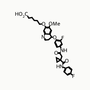 COc1cc2c(cc1OCCCCCC(=O)O)N=CCC2Oc1ccc(NC(=O)CC2(C(=O)Nc3ccc(F)cc3)CC2)cc1F